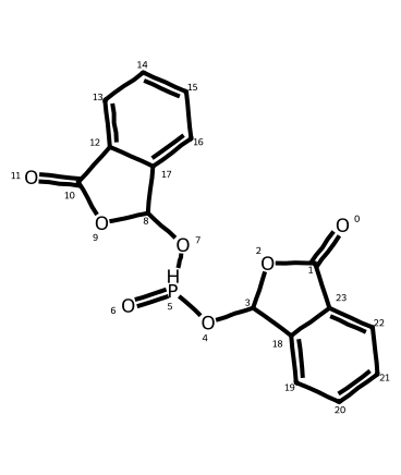 O=C1OC(O[PH](=O)OC2OC(=O)c3ccccc32)c2ccccc21